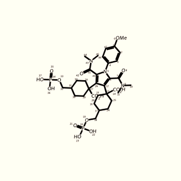 COc1ccc(-n2c(C(=O)N(C)C)c(C3(C(=O)O)CCC(COP(=O)(O)O)CC3)c(C3(C(=O)O)CCC(COP(=O)(O)O)CC3)c2C(=O)N(C)C)cc1